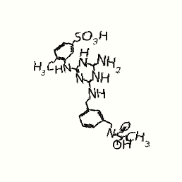 Cc1ccc(S(=O)(=O)O)cc1NC1=NC(NCc2cccc(CN=S(C)(=O)O)c2)NC(N)N1